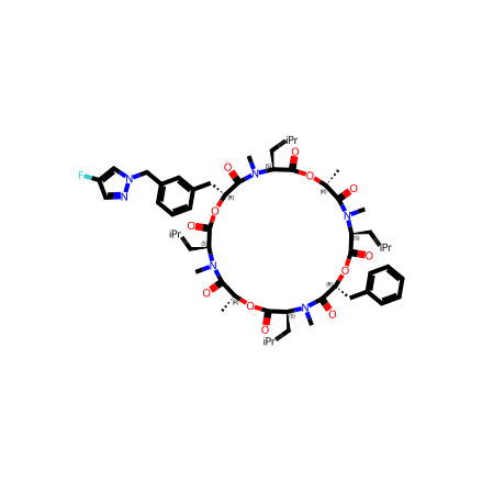 CC(C)C[C@H]1C(=O)O[C@H](Cc2cccc(Cn3cc(F)cn3)c2)C(=O)N(C)[C@@H](CC(C)C)C(=O)O[C@H](C)C(=O)N(C)[C@@H](CC(C)C)C(=O)O[C@H](Cc2ccccc2)C(=O)N(C)[C@@H](CC(C)C)C(=O)O[C@H](C)C(=O)N1C